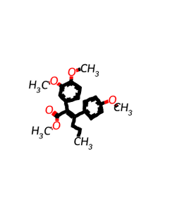 CCC/C(=C(\C(=O)OC)c1ccc(OC)c(OC)c1)c1ccc(OC)cc1